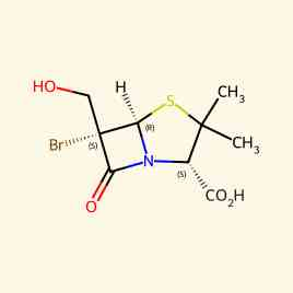 CC1(C)S[C@H]2N(C(=O)[C@@]2(Br)CO)[C@H]1C(=O)O